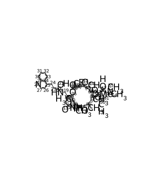 CO[C@]1(C)C[C@@H](C)C(=O)[C@H](C)[C@H]2NC(=O)O[C@]2(C)[C@@H](CCNC(=O)CCc2ccnc3ccccc23)OC(=O)[C@@](C)(F)C(=O)[C@H](C)[C@H]1OC1OC(C)CC(N(C)C)C1O